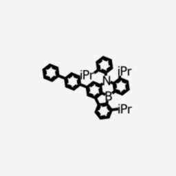 CC(C)c1ccccc1N1c2cc(-c3ccc(-c4ccccc4)cc3)cc3c2B(c2cccc(C(C)C)c21)c1c-3cccc1C(C)C